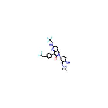 CN/C=C1/C=C(n2cc3ccc(NCC(F)(F)F)nc3c(-c3ccc(CC(F)F)cc3)c2=O)C=CC1=N